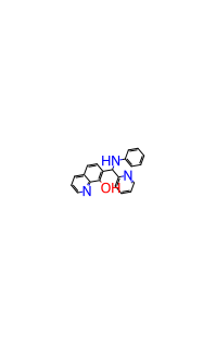 Oc1c(C(Nc2ccccc2)c2ccccn2)ccc2cccnc12